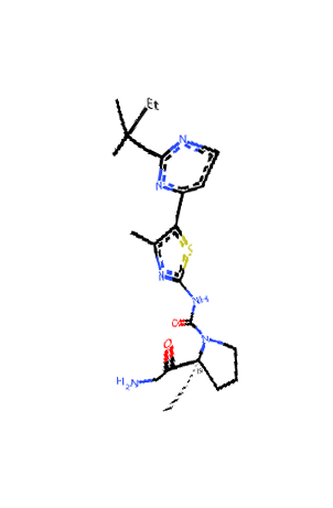 CCC(C)(C)c1nccc(-c2sc(NC(=O)N3CCC[C@@]3(C)C(N)=O)nc2C)n1